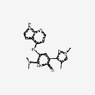 Cc1cn(C)nc1-c1cc(Nc2ccnc3[nH]ccc23)c(N(C)C)[nH]c1=O